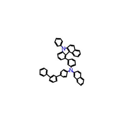 c1ccc(-c2cccc(-c3ccc(N(c4cccc(-c5cccc6c5c5c7ccccc7ccc5n6-c5ccccc5)c4)c4ccc5ccccc5c4)cc3)c2)cc1